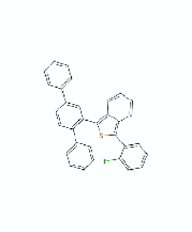 Fc1ccccc1-c1sc(-c2cc(-c3ccccc3)ccc2-c2ccccc2)c2ccccc12